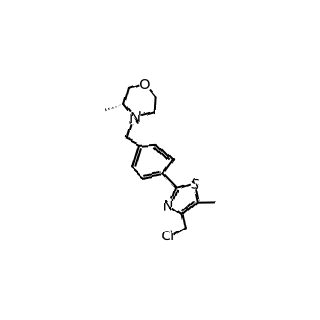 Cc1sc(-c2ccc(CN3CCOC[C@H]3C)cc2)nc1CCl